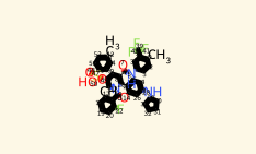 Cc1ccc(NC(=O)[C@H]2CCCN(C(=O)c3c(C)cccc3F)[C@H]2c2ccc(NC3CCCC3)cc2)cc1C(F)(F)F.Cc1ccc(S(=O)(=O)O)cc1